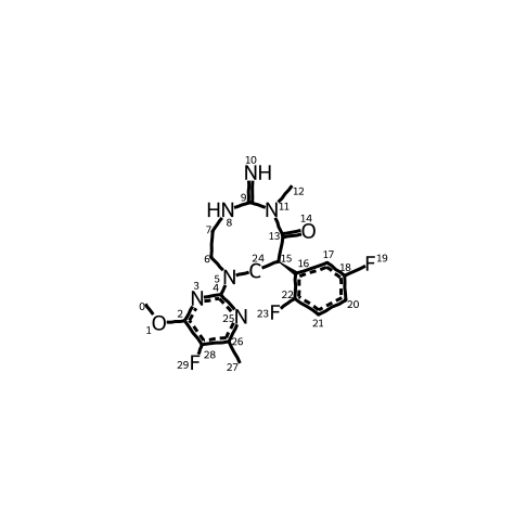 COc1nc(N2CCNC(=N)N(C)C(=O)[C@@H](c3cc(F)ccc3F)C2)nc(C)c1F